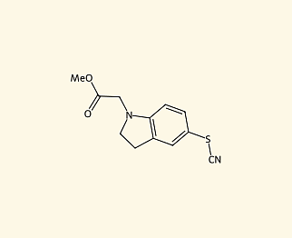 COC(=O)CN1CCc2cc(SC#N)ccc21